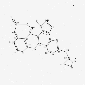 Cn1ncnc1C1C2=NCC(=O)C=C3N=NCC(=C32)CC1c1ccc(CN2CCC2)cc1